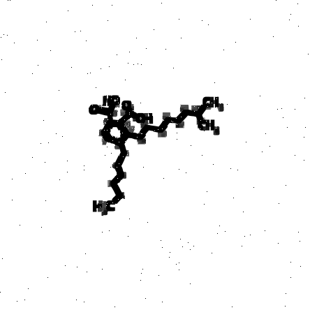 CCCCCCc1ccc(C(=O)O)c(C(=O)O)c1CCCCCCC(C)C